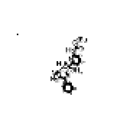 BC(B)(O/N=C(/c1ccccc1)c1nnnn1C)c1cccc(NC(=O)OC(C)(C)C)n1